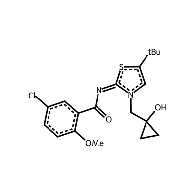 COc1ccc(Cl)cc1C(=O)N=c1sc(C(C)(C)C)cn1CC1(O)CC1